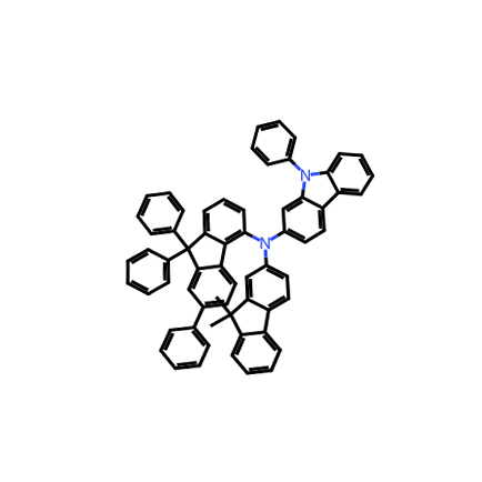 CC1(C)c2ccccc2-c2ccc(N(c3ccc4c5ccccc5n(-c5ccccc5)c4c3)c3cccc4c3-c3ccc(-c5ccccc5)cc3C4(c3ccccc3)c3ccccc3)cc21